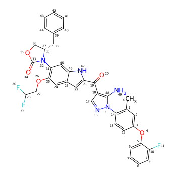 Cc1cc(Oc2ccccc2F)ccc1-n1ncc(C(=O)c2cc3cc(OCC(F)F)c(N4C(=O)OC[C@@H]4Cc4ccccc4)cc3[nH]2)c1N